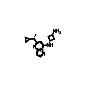 C[C@H](c1cc(N[C@H]2C[C@H](N)C2)n2nccc2n1)C1CC1